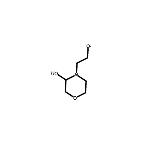 [O]CCN1CCOCC1O